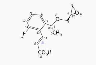 C[C@@H](OC[C@H]1CO1)c1cccc(F)c1/C=C/C(=O)O